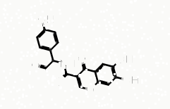 O=[C]C(NC(=O)c1coc2cc(O)c(O)cc2c1=O)c1ccc(O)cc1